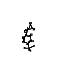 CC(C)(C)c1ccc(OC2CC2)cc1